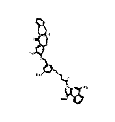 COc1cc2c(cc1OCc1cc(N)cc(COCCC(=O)N3C[C@@H](CCl)c4c3cc(N)c3ccccc43)c1)N=C[C@@H]1Cc3ccccc3CN1C2=O